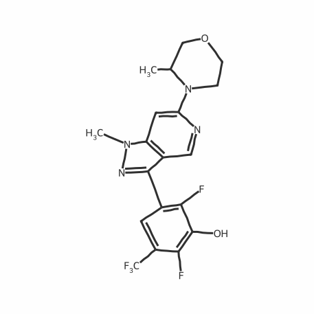 CC1COCCN1c1cc2c(cn1)c(-c1cc(C(F)(F)F)c(F)c(O)c1F)nn2C